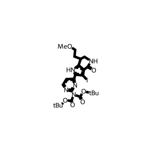 COCCC1CNC(=O)c2c1[nH]c(-c1ccnc(N(C(=O)OC(C)(C)C)C(=O)OC(C)(C)C)n1)c2I